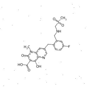 Cn1c(=O)c(C(=O)O)c(O)c2ncc(Cc3ccc(F)cc3CNCS(C)(=O)=O)cc21